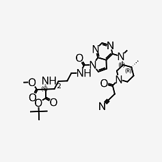 COC(=O)[C@@](N)(CCCCNC(=O)n1ccc2c(N(C)[C@H]3CN(C(=O)CC#N)CC[C@H]3C)ncnc21)C(=O)OC(C)(C)C